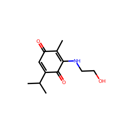 CC1=C(NCCO)C(=O)C(C(C)C)=CC1=O